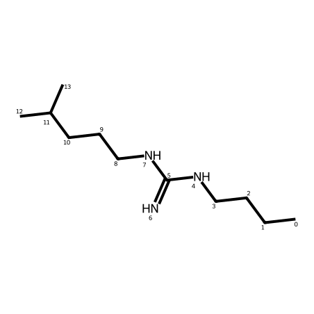 CCCCNC(=N)NCCCC(C)C